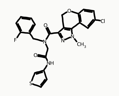 Cn1nc(C(=O)N(CC(=O)Nc2ccsc2)Cc2ccccc2F)c2c1-c1cc(Cl)ccc1OC2